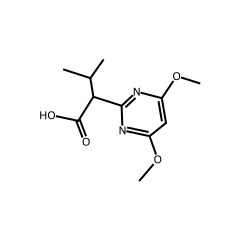 COc1cc(OC)nc(C(C(=O)O)C(C)C)n1